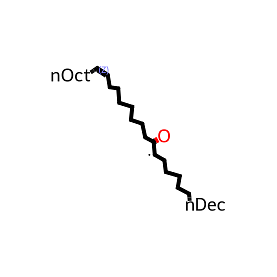 CCCCCCCC/C=C\CCCCCCCC(=O)[CH]CCCCCCCCCCCCCCC